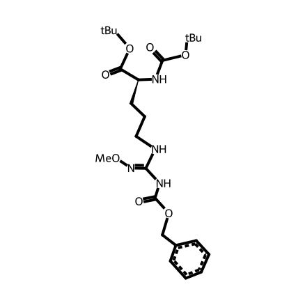 CON=C(NCCC[C@H](NC(=O)OC(C)(C)C)C(=O)OC(C)(C)C)NC(=O)OCc1ccccc1